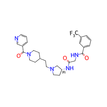 O=C(CNC(=O)c1cccc(C(F)(F)F)c1)N[C@@H]1CCN(CCC2CCN(C(=O)c3cccnc3)CC2)C1